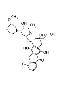 CO[C@@H]1CN([C@H]2C[C@H](O[C@H]3C[C@](O)(C(=O)CO)Cc4c(O)c5c(c(O)c43)Cc3c(F)cccc3C5=O)O[C@@H](C)[C@H]2O)CCO1